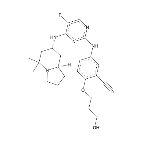 CC1(C)C[C@H](Nc2nc(Nc3ccc(OCCCO)c(C#N)c3)ncc2F)C[C@H]2CCCN21